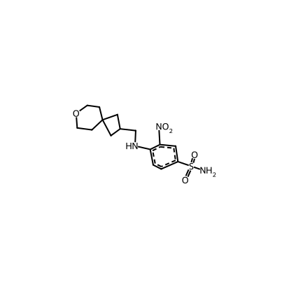 NS(=O)(=O)c1ccc(NCC2CC3(CCOCC3)C2)c([N+](=O)[O-])c1